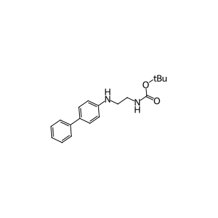 CC(C)(C)OC(=O)NCCNc1ccc(-c2ccccc2)cc1